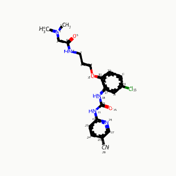 CN(C)CC(=O)NCCCOc1ccc(Cl)cc1NC(=O)Nc1ccc(C#N)cn1